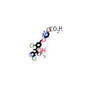 CC(c1ccc(COc2ccc(OC(=O)O)nn2)cc1Cl)C(O)(c1ccnc(Cl)c1)C(F)(F)F